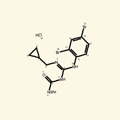 CNC(=O)NC(=NCC1CC1)Nc1ccc(Br)cc1Br.Cl